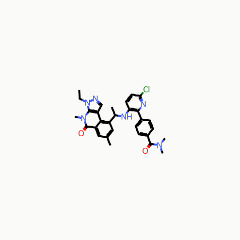 CCn1ncc2c3c(C(C)Nc4ccc(Cl)nc4-c4ccc(C(=O)N(C)C)cc4)cc(C)cc3c(=O)n(C)c21